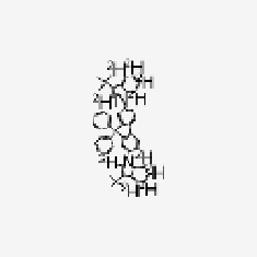 [2H]c1c([2H])c([2H])c2c(c1[2H])c(C(C)(C)C)c([2H])n2-c1ccc2c(c1)C(c1ccccc1)(c1ccccc1)c1cc(-n3c([2H])c(C(C)(C)C)c4c([2H])c([2H])c([2H])c([2H])c43)ccc1-2